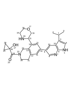 CC(C)c1c[nH]c2ncc(-c3cc4c(c(C5COCCN5)c3)CN(C(=O)C3(O)CC3)CC4)cc12